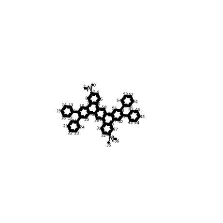 CN(C)c1ccc2c(c1)c1cc(-c3ccccc3)c(-c3ccccc3)cc1c1cc3c4ccc(N(C)C)cc4c4cc(-c5ccccc5)c(-c5ccccc5)cc4c3cc21